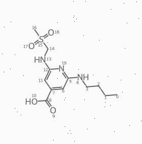 CCCCNc1cc(C(=O)O)cc(NCS(C)(=O)=O)n1